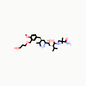 COc1ccc(C[C@@H](C[C@H](N)[C@@H](O)C[C@H](C(=O)NCC(C)(C)C(N)=O)C(C)C)C(C)C)cc1COCCCO